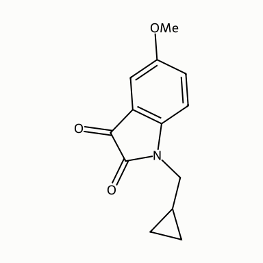 COc1ccc2c(c1)C(=O)C(=O)N2CC1CC1